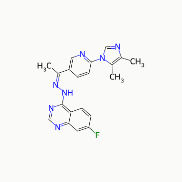 CC(=NNc1ncnc2cc(F)ccc12)c1ccc(-n2cnc(C)c2C)nc1